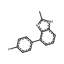 Cc1nc2c(-c3ccc(F)cc3)cccc2[nH]1